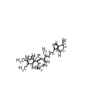 CCCC\C(C(C)=C(C)C)=C(C)/C(C)=C(C)/C(NCCC)=C(\C)CSCc1scc2c1NCCC2CC